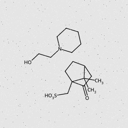 CC1(C)C2CCC1(CS(=O)(=O)O)C(=O)C2.OCCN1CCCCC1